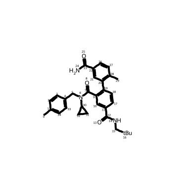 Cc1ccc(CN(C(=O)c2cc(C(=O)NCC(C)(C)C)ccc2-c2cc(C(N)=O)ccc2C)C2CC2)cc1